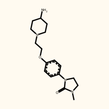 CN1CCN(c2ccc(OCCN3CCC(N)CC3)cc2)C1=O